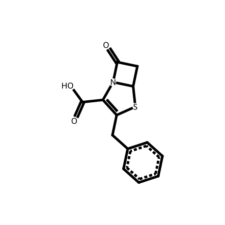 O=C(O)C1=C(Cc2ccccc2)SC2CC(=O)N12